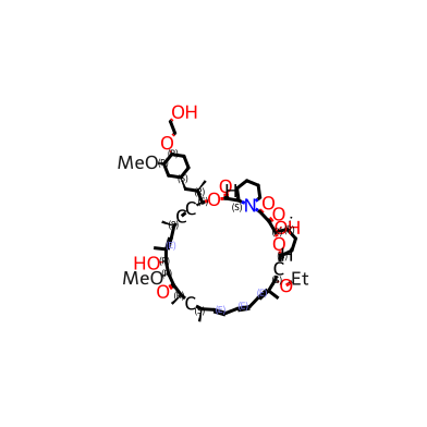 CCO[C@H]1C[C@@H]2CC[C@@H](C)[C@@](O)(O2)C(=O)C(=O)N2CCCC[C@H]2C(=O)O[C@H]([C@H](C)C[C@@H]2CC[C@@H](OCCO)[C@H](OC)C2)CC[C@H](C)/C=C(\C)[C@@H](O)[C@@H](OC)C(=O)[C@H](C)C[C@H](C)/C=C/C=C/C=C/1C